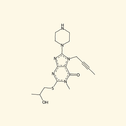 CC#CCn1c(N2CCNCC2)nc2nc(SCC(C)O)n(C)c(=O)c21